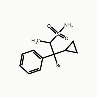 CC(C(Br)(c1ccccc1)C1CC1)S(N)(=O)=O